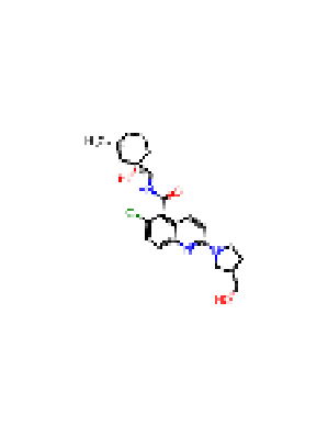 C[C@@H]1CCC[C@](O)(CNC(=O)c2c(Cl)ccc3nc(N4CCC(CO)C4)ccc23)C1